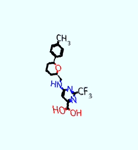 Cc1ccc([C@@H]2CCC[C@H](CNc3cc(C(O)O)nc(C(F)(F)F)n3)O2)cc1